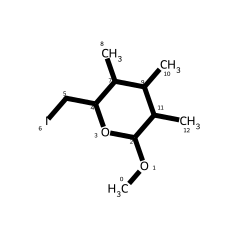 COC1OC(CI)C(C)C(C)C1C